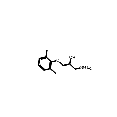 CC(=O)NCC(O)COc1c(C)c[c]cc1C